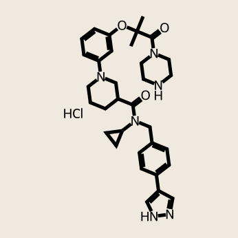 CC(C)(Oc1cccc(N2CCCC(C(=O)N(Cc3ccc(-c4cn[nH]c4)cc3)C3CC3)C2)c1)C(=O)N1CCNCC1.Cl